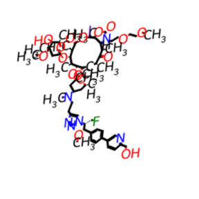 COCCOCCN1C(=O)O[C@]2(C)[C@@H](I)OC(=O)[C@H](C)[C@@H](O[C@H]3C[C@@](C)(OC)[C@@H](O)[C@H](C)O3)[C@H](C)[C@@H](O[C@H]3C[C@@H](N(C)CCc4cn([C@H](CF)[C@H](OC)c5ccc(-c6ccc(CO)nc6)cc5)nn4)C[C@@H](C)O3)[C@](C)(OC)C[C@@H](C)C(=O)[C@H](C)[C@@H]12